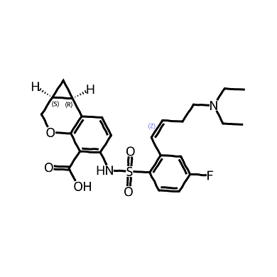 CCN(CC)CC/C=C\c1cc(F)ccc1S(=O)(=O)Nc1ccc2c(c1C(=O)O)OC[C@H]1C[C@@H]21